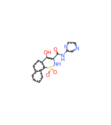 O=C(Nc1cnccn1)C1=C(O)c2ccc3ccccc3c2S(=O)(=O)N1